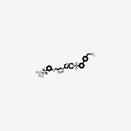 CN(C)S(=O)(=O)c1cccc(OC[C@@H](O)CNC2COC3(CCN(S(=O)(=O)c4cccc(-c5ccc(CN)cc5)c4)CC3)C2)c1